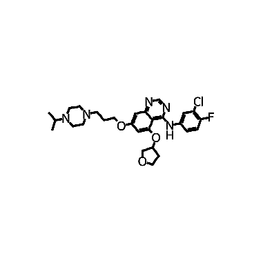 CC(C)N1CCN(CCCOc2cc(OC3CCOC3)c3c(Nc4ccc(F)c(Cl)c4)ncnc3c2)CC1